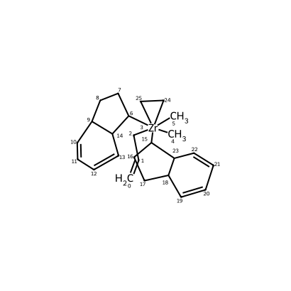 C=C[CH2][Zr]1([CH3])([CH3])([CH]2CCC3C=CC=CC32)([CH]2CCC3C=CC=CC32)[CH2][CH2]1